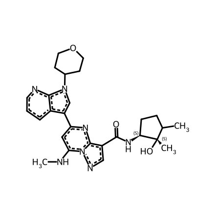 CNc1cc(-c2cn(C3CCOCC3)c3ncccc23)nc2c(C(=O)N[C@H]3CCC(C)[C@]3(C)O)cnn12